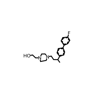 CC(CCN1CCN(CCO)CC1)c1ccc(-c2ccc(F)cc2)cc1